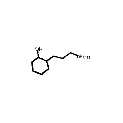 CCCCCCCCC1CCCCC1O